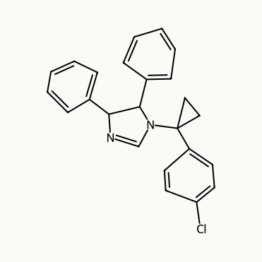 Clc1ccc(C2(N3C=NC(c4ccccc4)C3c3ccccc3)CC2)cc1